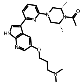 CC(=O)N1[C@H](C)CN(c2cccc(-c3c[nH]c4ncc(OCCCN(C)C)cc34)n2)C[C@@H]1C